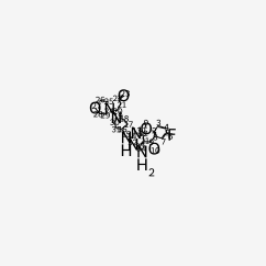 COc1ccc(F)cc1C(=O)c1cnc(NC2CCN(C(CC=O)N3CCOCC3)CC2)nc1N